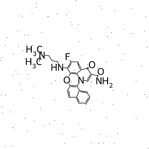 CN(C)CCCNc1c(F)cc2c(=O)c(C(N)=O)cn3c2c1Oc1ccc2ccccc2c1-3